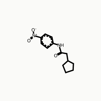 O=C(CC1CCCC1)Nc1ccc([N+](=O)[O-])cc1